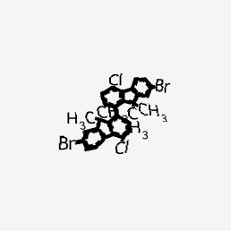 CC1(C)c2cc(Br)ccc2-c2c(Cl)ccc(-c3ccc(Cl)c4c3C(C)(C)c3cc(Br)ccc3-4)c21